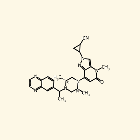 CC(c1ccc2nccnc2c1)N1C[C@H](C)N(c2cc(=O)n(C)c3cn(C4CC4C#N)nc23)C[C@H]1C